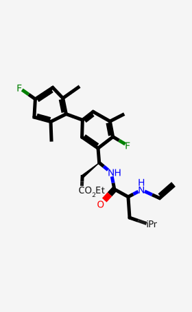 C=CNC(CC(C)C)C(=O)N[C@@H](CC(=O)OCC)c1cc(-c2c(C)cc(F)cc2C)cc(C)c1F